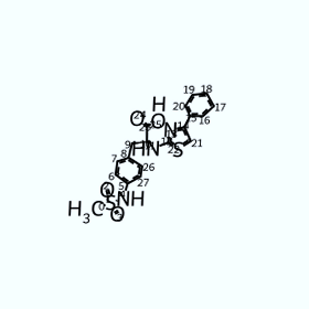 CS(=O)(=O)Nc1ccc(C[C@H](Nc2nc(-c3ccccc3)cs2)C(=O)O)cc1